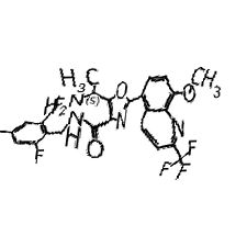 COc1ccc(-c2nc(C(=O)NCc3c(F)cc(F)cc3F)c([C@H](C)N)o2)c2ccc(C(F)(F)F)nc12